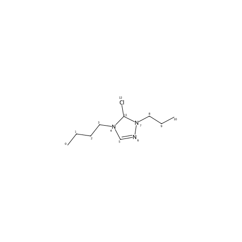 CCCCN1C=NN(CCC)C1Cl